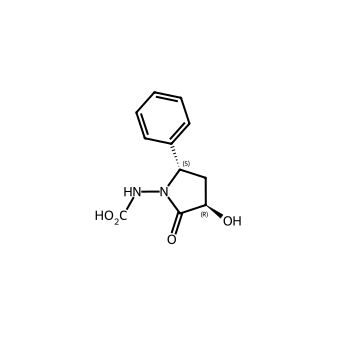 O=C(O)NN1C(=O)[C@H](O)C[C@H]1c1ccccc1